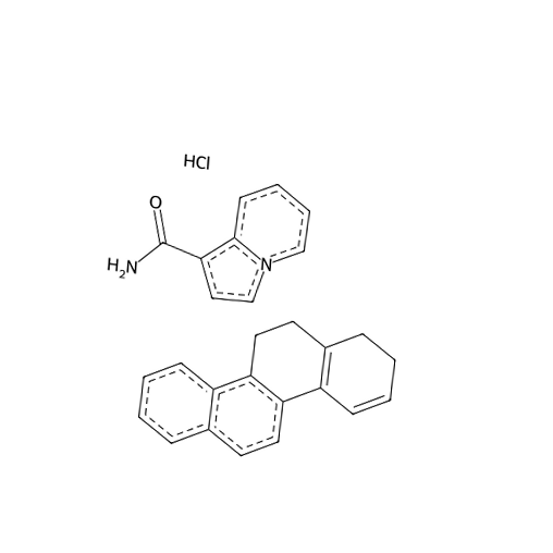 C1=CC2=C(CC1)CCc1c2ccc2ccccc12.Cl.NC(=O)c1ccn2ccccc12